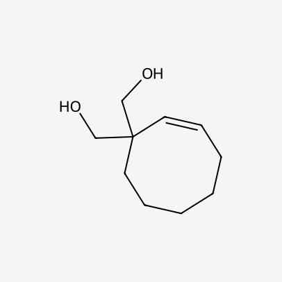 OCC1(CO)/C=C\CCCCC1